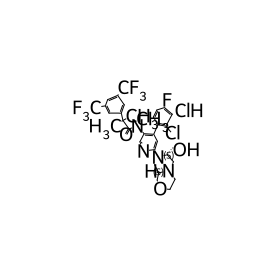 CN(C(=O)C(C)(C)c1cc(C(F)(F)F)cc(C(F)(F)F)c1)c1cnc(N2C[C@H]3COCCN3C[C@H]2CO)cc1-c1ccc(F)cc1Cl.Cl